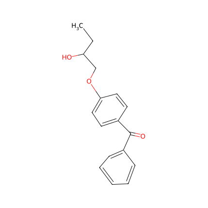 CCC(O)COc1ccc(C(=O)c2ccccc2)cc1